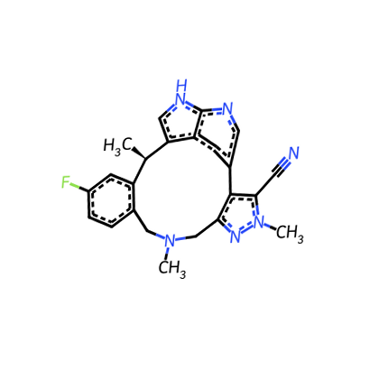 C[C@@H]1c2cc(F)ccc2CN(C)Cc2nn(C)c(C#N)c2-c2cnc3[nH]cc1c3c2